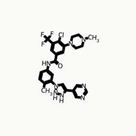 Cc1ccc(NC(=O)c2cc(N3CCN(C)CC3)c(Cl)c(C(F)(F)F)c2)cc1N1C=C(c2cncnc2)NN1